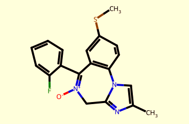 CSc1ccc2c(c1)C(c1ccccc1F)=[N+]([O-])Cc1nc(C)cn1-2